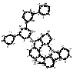 c1ccc(-c2cccc(-c3nc(-c4ccccc4)cc(-n4c5ccc6sc7ccc8c9ccccc9n9c%10cccc4c%10c5c6c7c89)n3)c2)cc1